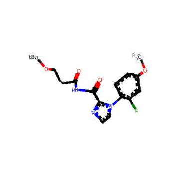 CC(C)(C)OCCC(=O)NC(=O)c1nccn1-c1ccc(OC(F)(F)F)cc1F